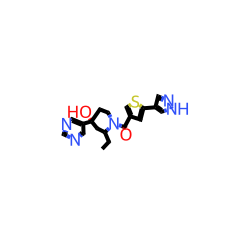 CCC1CC(O)(c2cncnc2)CCN1C(=O)c1csc(-c2cn[nH]c2)c1